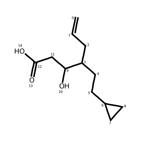 C=CCC(CCC1CC1)C(O)CC(=O)O